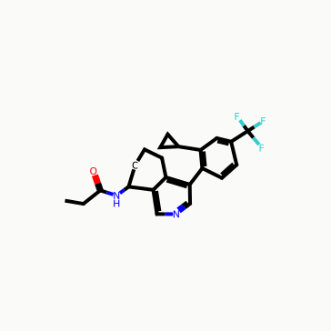 CCC(=O)NC1CCCc2c(-c3ccc(C(F)(F)F)cc3C3CC3)cncc21